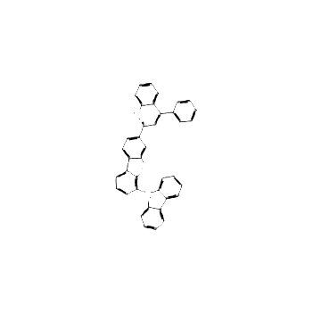 c1ccc(-c2cc(-c3ccc4c(c3)oc3c(-n5c6ccccc6c6ccccc65)cccc34)nc3ccccc23)cc1